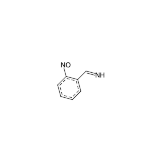 N=Cc1ccccc1N=O